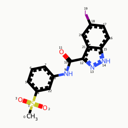 CS(=O)(=O)c1cccc(NC(=O)c2n[nH]c3ccc(I)cc23)c1